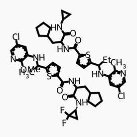 CCC(Nc1cc(Cl)cnc1C)c1ccc(C(=O)NC(CC2CCCC2)C(=O)NC2CC2)s1.COc1ncc(Cl)cc1NC(C)c1ccc(C(=O)NC(CC2CCCC2)C(=O)N[C@@H]2CC2(F)F)s1